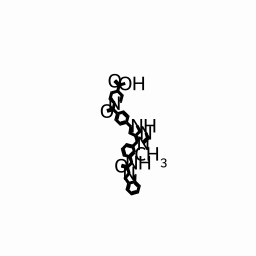 Cc1c(NC(=O)N2Cc3ccccc3C2)cccc1-c1ncnc2[nH]c(-c3ccc(C(=O)N4CCC(C(=O)O)CC4)cc3)cc12